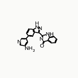 Nc1cncc(-c2ccc3[nH]nc(-c4nc(=O)c5ccccc5[nH]4)c3c2)c1